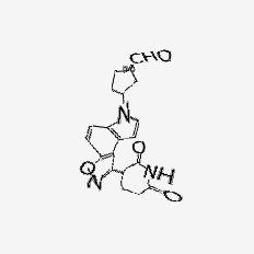 O=C[C@@H]1CCC(n2ccc3c4c(C5CCC(=O)NC5=O)noc4ccc32)C1